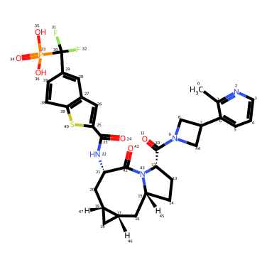 Cc1ncccc1C1CN(C(=O)[C@@H]2CC[C@@H]3C[C@@H]4C[C@@H]4C[C@H](NC(=O)c4cc5cc(C(F)(F)P(=O)(O)O)ccc5s4)C(=O)N32)C1